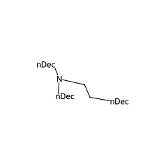 CCCCCCCCCCCCN(CCCCCCCCCC)CCCCCCCCCC